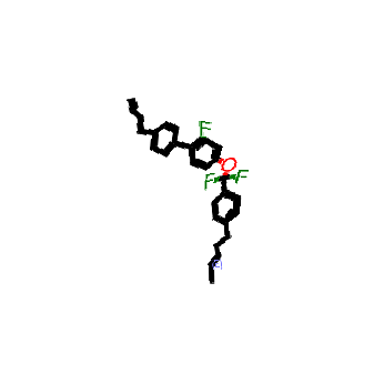 C=CCCc1ccc(-c2ccc(OC(F)(F)c3ccc(CC/C=C/C)cc3)cc2F)cc1